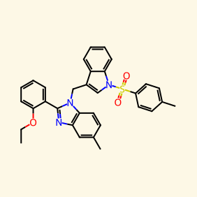 CCOc1ccccc1-c1nc2cc(C)ccc2n1Cc1cn(S(=O)(=O)c2ccc(C)cc2)c2ccccc12